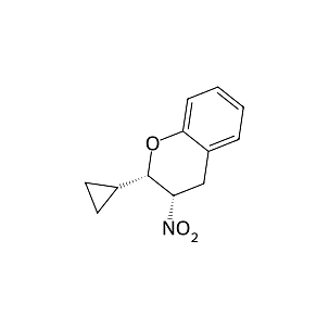 O=[N+]([O-])[C@H]1Cc2ccccc2O[C@H]1C1CC1